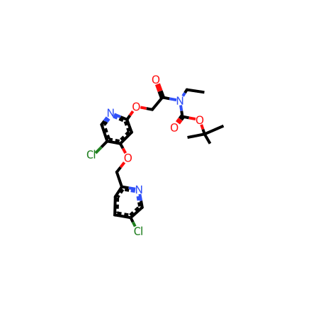 CCN(C(=O)COc1cc(OCc2ccc(Cl)cn2)c(Cl)cn1)C(=O)OC(C)(C)C